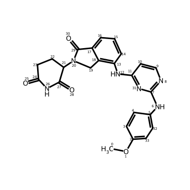 COc1ccc(Nc2nccc(Nc3cccc4c3CN(C3CCC(=O)NC3=O)C4=O)n2)cc1